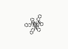 c1ccc(N(c2ccc3ccccc3c2)c2nc(N(c3ccccc3)c3ccc4ccccc4c3)nc(N(c3ccccc3)c3ccc4ccccc4c3)n2)cc1